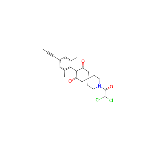 CC#Cc1cc(C)c(C2C(=O)CC3(CCN(C(=O)C(Cl)Cl)CC3)CC2=O)c(C)c1